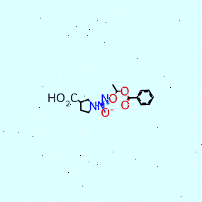 CC(O/N=[N+](\[O-])N1CCC(C(=O)O)C1)OC(=O)c1ccccc1